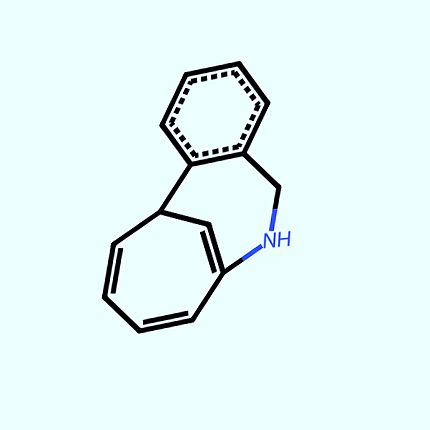 C1=CC2=CC(C=C1)c1ccccc1CN2